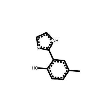 Cc1ccc(O)c(-c2ncc[nH]2)c1